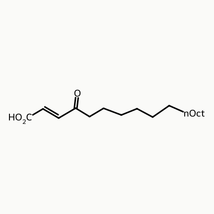 CCCCCCCCCCCCCCC(=O)/C=C/C(=O)O